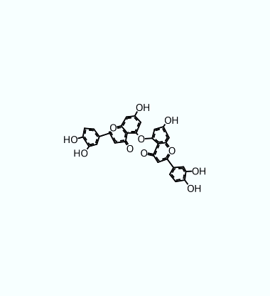 O=c1cc(-c2ccc(O)c(O)c2)oc2cc(O)cc(Oc3cc(O)cc4oc(-c5ccc(O)c(O)c5)cc(=O)c34)c12